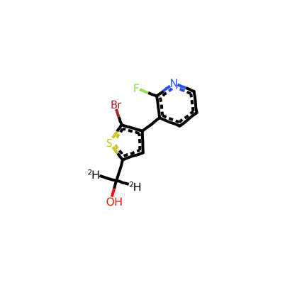 [2H]C([2H])(O)c1cc(-c2cccnc2F)c(Br)s1